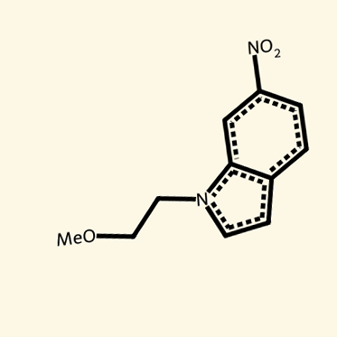 COCCn1ccc2ccc([N+](=O)[O-])cc21